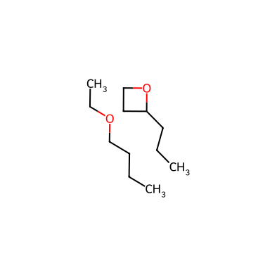 CCCC1CCO1.CCCCOCC